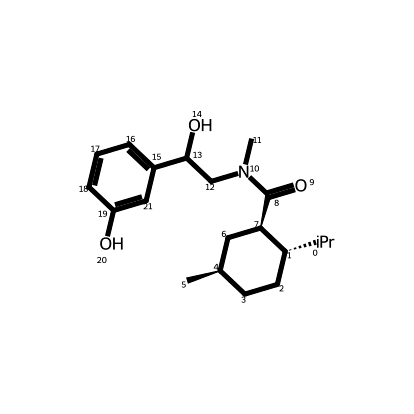 CC(C)[C@@H]1CC[C@@H](C)C[C@H]1C(=O)N(C)CC(O)c1cccc(O)c1